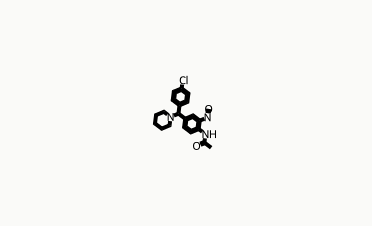 CC(=O)Nc1ccc(C(c2ccc(Cl)cc2)N2CCCCC2)cc1N=O